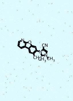 Cc1cc2c(cc1N1C(C#N)=CN(C)[C@@H]1C)oc1ncccc12